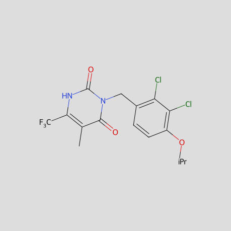 Cc1c(C(F)(F)F)[nH]c(=O)n(Cc2ccc(OC(C)C)c(Cl)c2Cl)c1=O